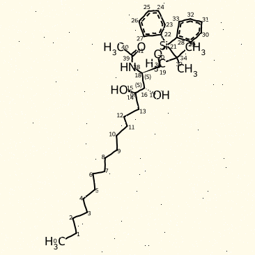 CCCCCCCCCCCCCC[C@@H](O)[C@@H](O)[C@H](CO[Si](c1ccccc1)(c1ccccc1)C(C)(C)C)NC(C)=O